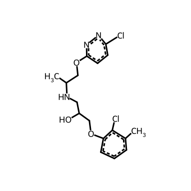 Cc1cccc(OCC(O)CNC(C)COc2ccc(Cl)nn2)c1Cl